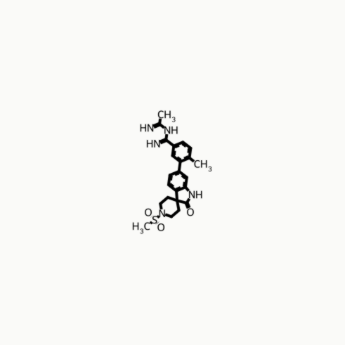 CC(=N)NC(=N)c1ccc(C)c(-c2ccc3c(c2)NC(=O)C32CCN(S(C)(=O)=O)CC2)c1